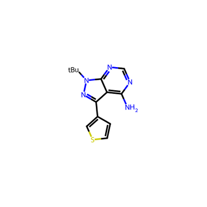 CC(C)(C)n1nc(-c2ccsc2)c2c(N)ncnc21